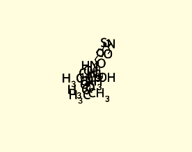 CC(C)(C)OC(=O)N[C@H](C(=O)N1C[C@H](O)C[C@H]1NC(=O)Cc1ccc2c(c1)OCc1ncsc1-2)C(C)(C)C